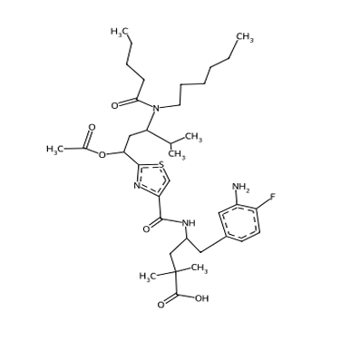 CCCCCCN(C(=O)CCCC)C(CC(OC(C)=O)c1nc(C(=O)NC(Cc2ccc(F)c(N)c2)CC(C)(C)C(=O)O)cs1)C(C)C